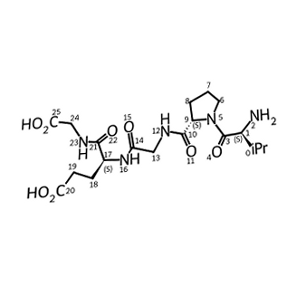 CC(C)[C@H](N)C(=O)N1CCC[C@H]1C(=O)NCC(=O)N[C@@H](CCC(=O)O)C(=O)NCC(=O)O